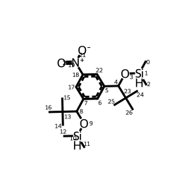 C[SiH](C)OC(c1cc(C(O[SiH](C)C)C(C)(C)C)cc([N+](=O)[O-])c1)C(C)(C)C